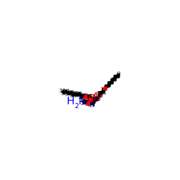 CCCCCCCCCCCCCCOCC(C[N+](C)(C)CCCN)OCCCCCCCCCCCCCC